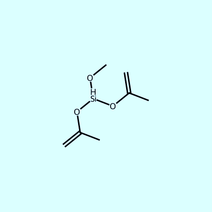 C=C(C)O[SiH](OC)OC(=C)C